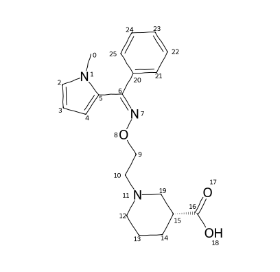 Cn1cccc1C(=NOCCN1CCC[C@@H](C(=O)O)C1)c1ccccc1